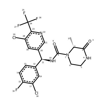 C[C@@H]1C(=O)NCCN1C(=O)N[C@@H](c1ccc(F)c(Cl)c1)c1cnc(C(F)(F)F)c(Cl)c1